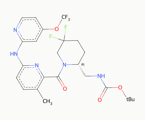 Cc1ccc(Nc2cc(OC(F)(F)F)ccn2)nc1C(=O)N1CC(F)(F)CC[C@@H]1CNC(=O)OC(C)(C)C